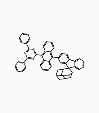 c1ccc(-c2nc(-c3ccccc3)nc(-c3c4ccccc4c(-c4ccc5c(c4)C4(c6ccccc6-5)C5CC6CC(C5)CC4C6)c4ccccc34)n2)cc1